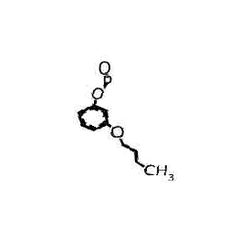 CCCCOc1cccc(OP=O)c1